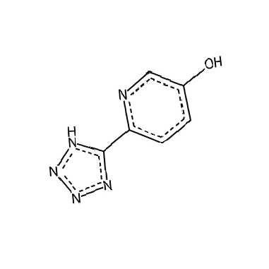 Oc1ccc(-c2nnn[nH]2)nc1